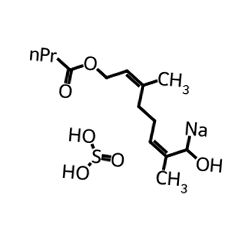 CCCC(=O)OCC=C(C)CCC=C(C)[CH](O)[Na].O=S(O)O